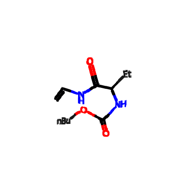 C=CNC(=O)C(CC)NC(=O)OCCCC